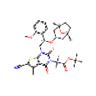 COc1ccccc1[C@H](Cn1c(=O)n(C(C)(C)C(=O)OC(C)(C)C)c(=O)c2c(C)c(C#N)sc21)OC1C[C@H]2CC[C@@H](C1)O2